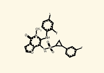 Cn1c(Nc2ccc(I)cc2F)c(NS(=O)(=O)C2CC2c2cccc(F)c2)c2occc2c1=O